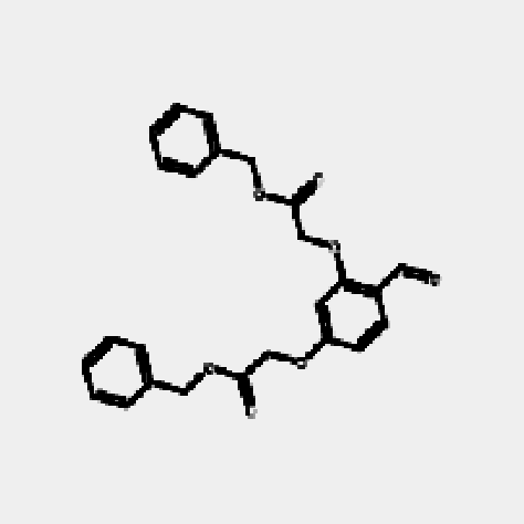 O=Cc1ccc(OCC(=O)OCc2ccccc2)cc1OCC(=O)OCc1ccccc1